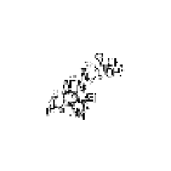 O=C([C@H](O)C(F)(F)F)N1CCN(c2cnc(-c3ccc(F)cc3)c(-c3ccncc3Cl)n2)CC1